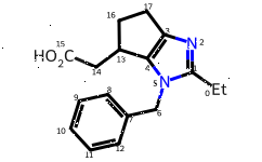 CCc1nc2c(n1Cc1ccccc1)C(CC(=O)O)CC2